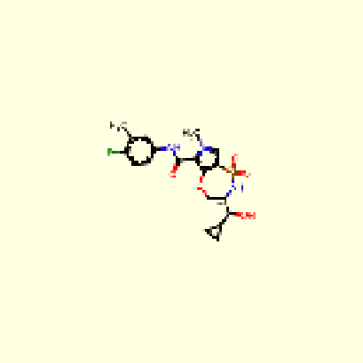 Cc1cc(NC(=O)c2c3c(cn2C)S(=O)(=O)N[C@@H](C(O)C2CC2)CO3)ccc1F